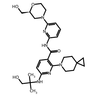 CC(C)(CO)Nc1ccc(C(=O)Nc2cccc(N3CCO[C@H](CO)C3)n2)c(N2CCC3(CC2)CC3)n1